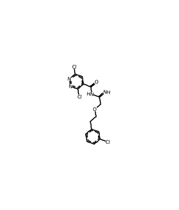 N=C(COCCc1cccc(Cl)c1)NC(=O)c1cc(Cl)nnc1Cl